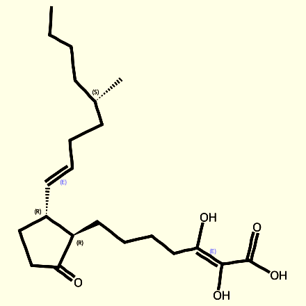 CCCC[C@H](C)CC/C=C/[C@H]1CCC(=O)[C@@H]1CCCC/C(O)=C(\O)C(=O)O